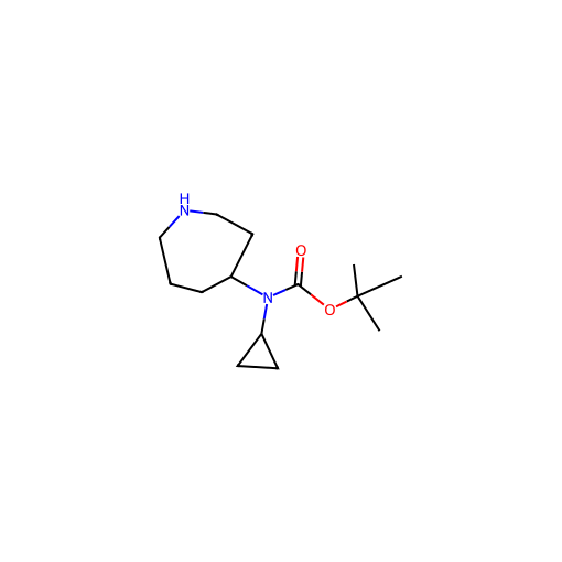 CC(C)(C)OC(=O)N(C1CCCNCC1)C1CC1